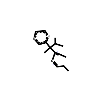 C/C=C(\N=C/CC)C(C)(c1cnccn1)C(C)C